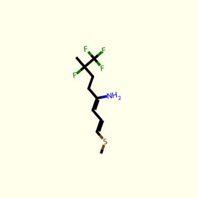 CS/C=C/C=C(\N)CCC(C)(F)C(F)(F)F